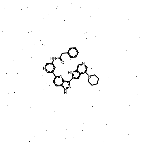 O=C(Cc1ccccc1)Nc1cncc(-c2ccc3[nH]nc(-c4cc5c(N6CCCCC6)cncc5[nH]4)c3n2)c1